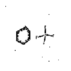 F[B-](F)(F)F.c1ccccc1